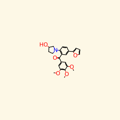 COc1cc(C(=O)c2cc(-c3ccco3)ccc2N2CC[C@@H](O)C2)cc(OC)c1OC